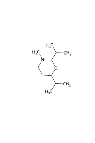 CC(C)C1CCN(C)C(C(C)C)O1